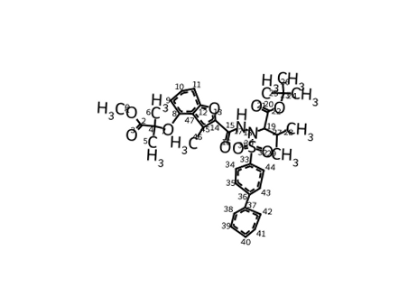 COC(=O)C(C)(C)Oc1cccc2oc(C(=O)NN(C(C(=O)OC(C)(C)C)C(C)C)S(=O)(=O)c3ccc(-c4ccccc4)cc3)c(C)c12